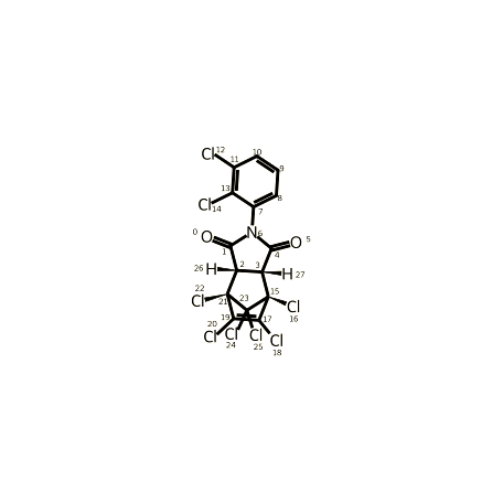 O=C1[C@@H]2[C@H](C(=O)N1c1cccc(Cl)c1Cl)[C@]1(Cl)C(Cl)=C(Cl)[C@@]2(Cl)C1(Cl)Cl